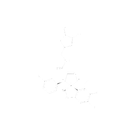 CC(C)(C)C[C@H]1N[C@@H](C(=O)NCC2CC(O)C(O)C2)[C@H](c2cccc(Cl)c2)[C@@]12C(=O)Nc1cc(Cl)c(F)cc12